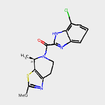 COc1nc2c(s1)[C@@H](C)N(C(=O)c1nc3cccc(Cl)c3[nH]1)CC2